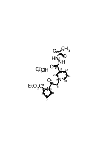 CCOC(=O)c1cccn1C(=O)C[n+]1cccc(C(=O)NNS(C)(=O)=O)c1.Cl.[Cl-]